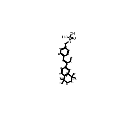 CCC(=Cc1ccc(COP(=O)(O)O)cc1)c1ccc2c(c1)C(C)(C)CCC2(C)C